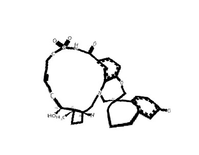 C[C@]12CC[C@H]1CN1C[C@@]3(CCCc4cc(Cl)ccc43)COc3ccc(cc31)C(=O)NS(=O)(=O)CC/C=C\C[C@@H]2O